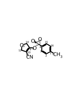 Cc1ccc(S(=O)(=O)OC2=C(C#N)COC2)cc1